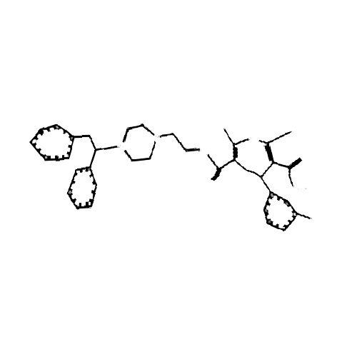 COC(=O)C1=C(C)NC(C)=C(C(=O)OCCN2CCN(C(Cc3ccccc3)c3ccccc3)CC2)CC1c1cccc([N+](=O)[O-])c1